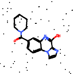 O=C(c1ccc2c(c1)nc(O)c1nccn12)N1CCCCC1